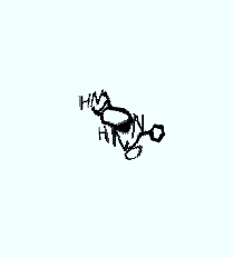 O=c1[nH]c2cc3c(cc2nc1-c1ccccc1)C1CNCC3C1